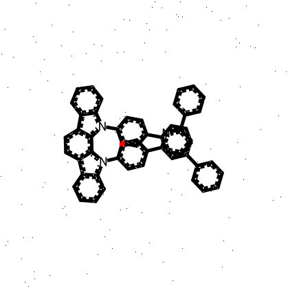 c1ccc(-c2ccc(-n3c4ccccc4c4ccc5c6ccccc6n(-c6ccc(-c7cc(-c8ccccc8)cc(-c8ccccc8)n7)cc6)c5c43)cc2)cc1